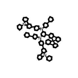 c1ccc(-c2ccc(N(c3ccc(-c4ccc5c(c4)c4ccccc4n5-c4ccccc4)cc3)c3cc(-c4ccc5c(c4)C4(c6ccccc6-c6ccccc64)c4ccccc4-5)cc(N(c4ccc(-c5ccccc5)cc4)c4ccc(-c5ccc6c(c5)c5ccccc5n6-c5ccccc5)cc4)c3)cc2)cc1